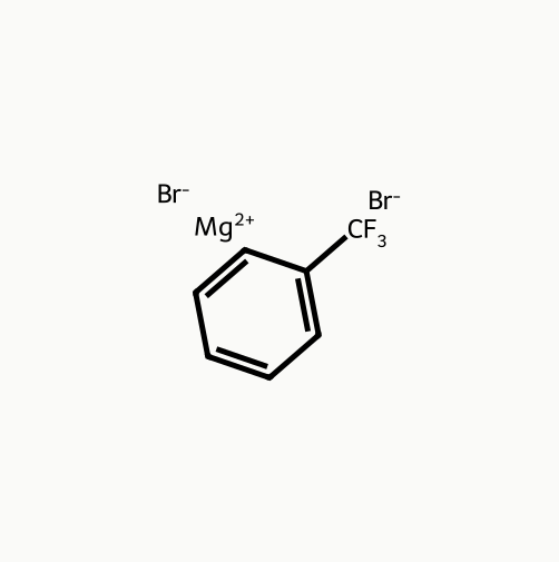 FC(F)(F)c1ccccc1.[Br-].[Br-].[Mg+2]